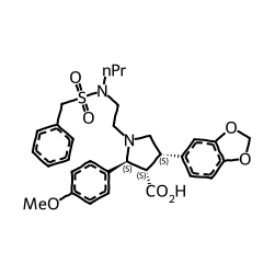 CCCN(CCN1C[C@H](c2ccc3c(c2)OCO3)[C@H](C(=O)O)[C@H]1c1ccc(OC)cc1)S(=O)(=O)Cc1ccccc1